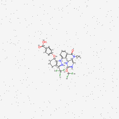 CN(C(=O)c1cccc(-n2nc(C(F)(F)F)c3c2C(Oc2ccc(C(=O)O)cc2)CCC3)c1)c1cnc(OC(F)F)nc1